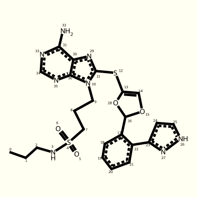 CCCNS(=O)(=O)CCCn1c(SC2=COC(c3ccccc3-c3cc[nH]n3)O2)nc2c(N)ncnc21